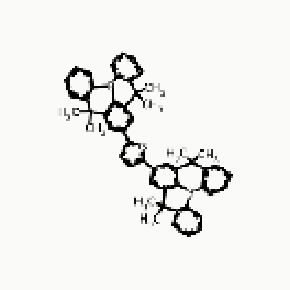 CC1(C)c2ccccc2B2c3ccccc3C(C)(C)c3cc(-c4ccc(-c5cc6c7c(c5)C(C)(C)c5ccccc5B7c5ccccc5C6(C)C)s4)cc1c32